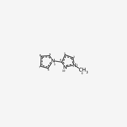 Cn1ccc(-n2cccc2)n1